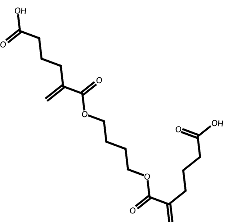 C=C(CCCC(=O)O)C(=O)OCCCCOC(=O)C(=C)CCCC(=O)O